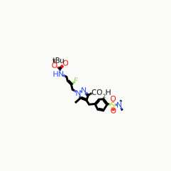 Cc1c(Cc2ccc(S(=O)(=O)N(C)C)cc2)c(C(=O)O)nn1C/C(F)=C/CNC(=O)OC(C)(C)C